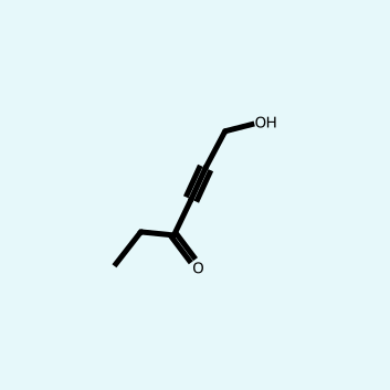 CCC(=O)C#CCO